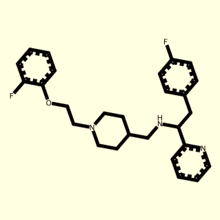 Fc1ccc(CC(NCC2CCN(CCOc3ccccc3F)CC2)c2ccccn2)cc1